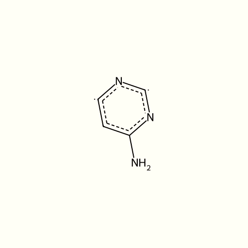 Nc1c[c]n[c]n1